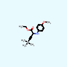 CCOC(=O)C(C#C[Si](C)(C)C)Nc1ccc(OC)cc1